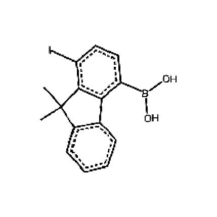 CC1(C)c2ccccc2-c2c(B(O)O)ccc(I)c21